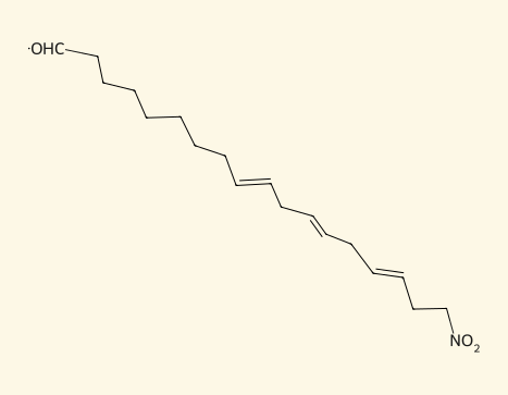 O=[C]CCCCCCCC=CCC=CCC=CCC[N+](=O)[O-]